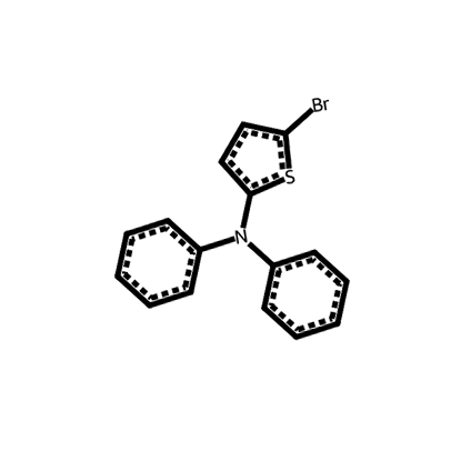 Brc1ccc(N(c2ccccc2)c2ccccc2)s1